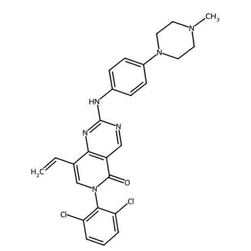 C=Cc1cn(-c2c(Cl)cccc2Cl)c(=O)c2cnc(Nc3ccc(N4CCN(C)CC4)cc3)nc12